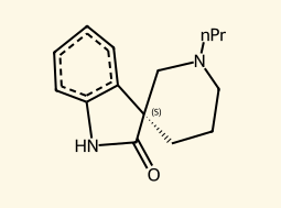 CCCN1CCC[C@]2(C1)C(=O)Nc1ccccc12